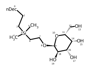 CCCCCCCCCCCC[Si](C)(C)CCO[C@H]1O[C@H](CO)[C@H](O)[C@H](O)[C@H]1O